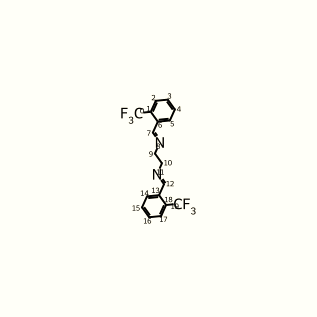 FC(F)(F)c1ccccc1/C=N/CC/N=C/c1ccccc1C(F)(F)F